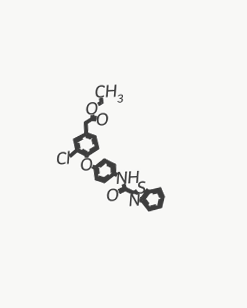 CCOC(=O)Cc1ccc(Oc2ccc(NC(=O)c3nc4ccccc4s3)cc2)c(Cl)c1